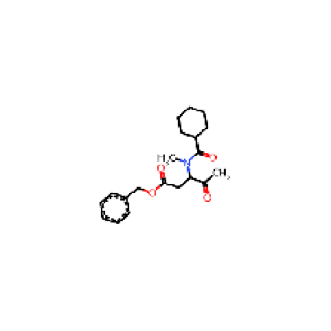 CC(=O)C(CC(=O)OCc1ccccc1)N(C)C(=O)C1CCCCC1